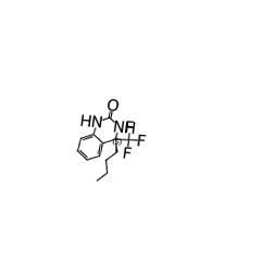 CCCC[C@]1(C(F)(F)F)NC(=O)Nc2ccccc21